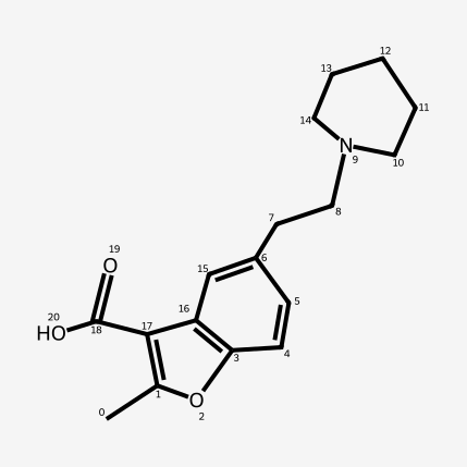 Cc1oc2ccc(CCN3CCCCC3)cc2c1C(=O)O